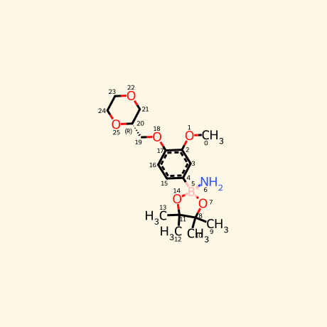 COc1cc([B-]2(N)OC(C)(C)C(C)(C)O2)ccc1OC[C@H]1COCCO1